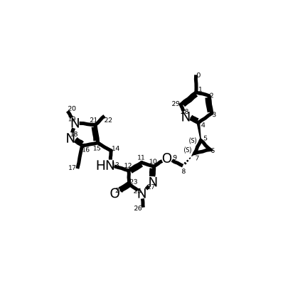 Cc1ccc([C@H]2C[C@@H]2COc2cc(NCc3c(C)nn(C)c3C)c(=O)n(C)n2)nc1